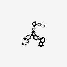 CN1CCC[C@H]1COc1nc2c(c(N3CCN[C@@H](CC#N)C3)n1)CCN(c1cccc3cccnc13)C2